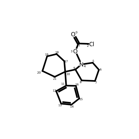 O=C(Cl)ON1CCCCC1C1(c2ccccc2)CCCCC1